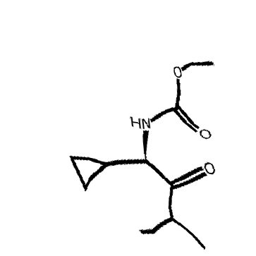 COC(=O)N[C@@H](C(=O)C(C)C)C1CC1